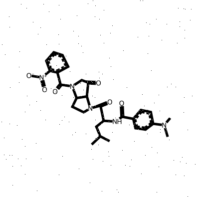 CC(C)CC(NC(=O)c1ccc(N(C)C)cc1)C(=O)N1CCC2C1C(=O)CN2C(=O)c1ccccc1[N+](=O)[O-]